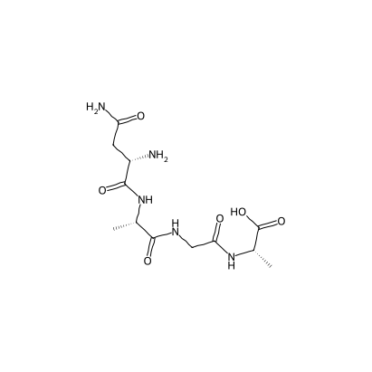 C[C@H](NC(=O)CNC(=O)[C@H](C)NC(=O)[C@@H](N)CC(N)=O)C(=O)O